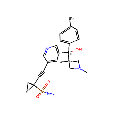 CC(C)c1ccc([C@](O)(c2cncc(C#CC3(S(N)(=O)=O)CC3)c2)C2(C)CN(C)C2)cc1